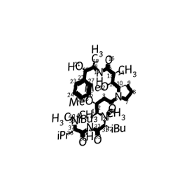 CC[C@H](C)[C@@H]([C@@H](CC(=O)N1CCC[C@H]1[C@H](OC)[C@@H](C)C(=O)N[C@H](C)[C@@H](O)c1ccccc1)OC)N(C)[C@H](C(=O)NC(=O)[C@H](C(C)C)N(C)C)[C@@H](C)CC